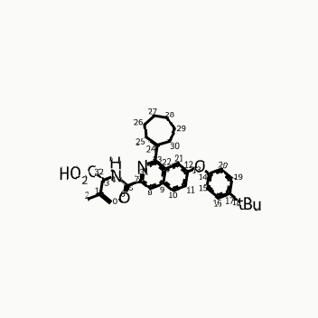 C=C(C)[C@H](NC(=O)c1cc2ccc(Oc3ccc(C(C)(C)C)cc3)cc2c(C2CCCCCC2)n1)C(=O)O